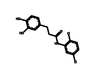 O=C(CCc1ccc(O)c(O)c1)Nc1cc(Cl)ccc1Cl